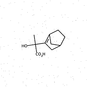 CC(O)(C(=O)O)C1=C2CCC(C2)C1